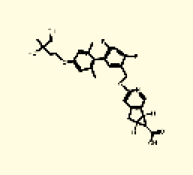 Cc1cc(OCCC(C)(O)CO)cc(C)c1-c1cc(COc2cc3c(cn2)[C@H]2[C@@H](C3)[C@@H]2C(=O)O)c(F)cc1F